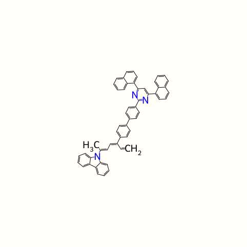 C=C/C(=C\C=C(/C)n1c2ccccc2c2ccccc21)c1ccc(-c2ccc(-c3nc(-c4cccc5ccccc45)cc(-c4cccc5ccccc45)n3)cc2)cc1